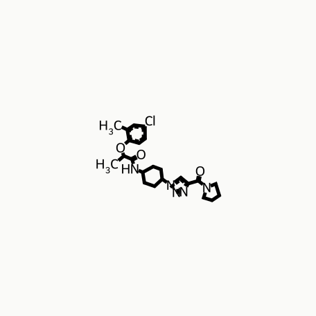 Cc1cc(Cl)ccc1OC(C)C(=O)NC1CCC(n2cc(C(=O)N3CCCC3)nn2)CC1